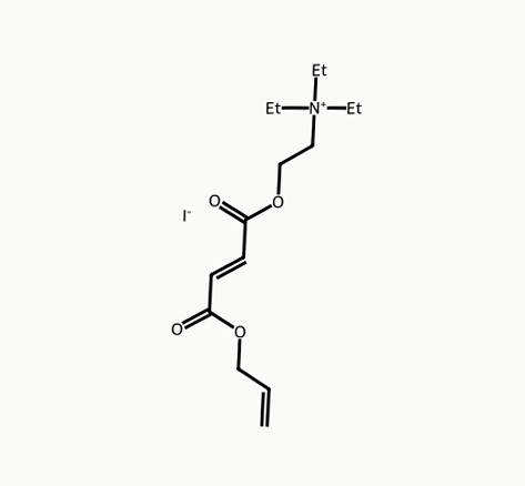 C=CCOC(=O)C=CC(=O)OCC[N+](CC)(CC)CC.[I-]